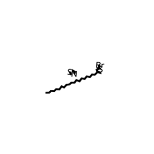 CCCCCCCCCCCCCCCCCCCCc1csc(Br)c1.c1cscn1